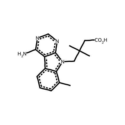 Cc1cccc2c3c(N)ncnc3n(CC(C)(C)CC(=O)O)c12